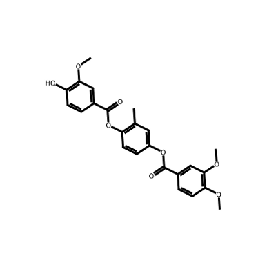 COc1cc(C(=O)Oc2ccc(OC(=O)c3ccc(OC)c(OC)c3)cc2C)ccc1O